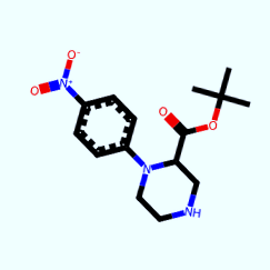 CC(C)(C)OC(=O)C1CNCCN1c1ccc([N+](=O)[O-])cc1